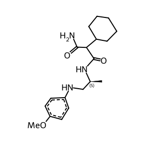 COc1ccc(NC[C@H](C)NC(=O)C(C(N)=O)C2CCCCC2)cc1